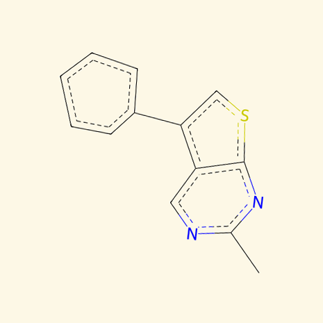 Cc1ncc2c(-c3ccccc3)csc2n1